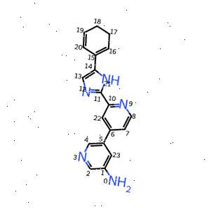 Nc1cncc(-c2ccnc(-c3ncc(C4=CCCC=C4)[nH]3)c2)c1